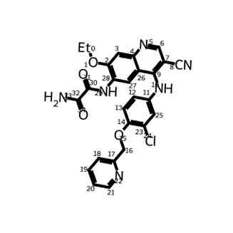 CCOc1cc2ncc(C#N)c(Nc3ccc(OCc4ccccn4)c(Cl)c3)c2cc1NC(=O)C(N)=O